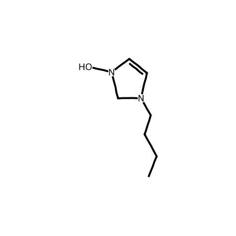 CCCCN1C=CN(O)C1